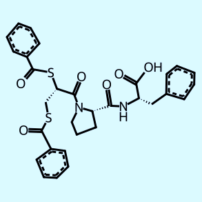 O=C(SC[C@H](SC(=O)c1ccccc1)C(=O)N1CCC[C@H]1C(=O)N[C@@H](Cc1ccccc1)C(=O)O)c1ccccc1